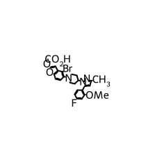 COc1cc(F)ccc1-c1cc(C)nn1C1CCN(c2ccc3oc(OC(=O)O)cc3c2Br)CC1